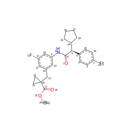 CCc1ccc([C@@H](C(=O)Nc2cc(F)cc(CC3(C(=O)OC(C)(C)C)CC3)c2)C2CCCC2)cc1